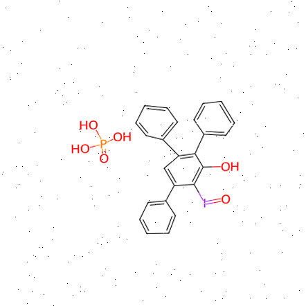 O=Ic1c(-c2ccccc2)cc(-c2ccccc2)c(-c2ccccc2)c1O.O=P(O)(O)O